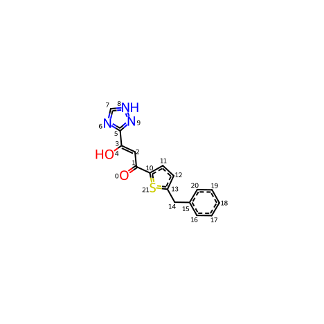 O=C(C=C(O)c1nc[nH]n1)c1ccc(Cc2ccccc2)s1